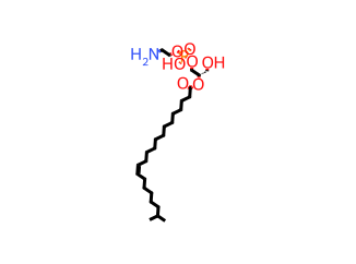 CC(C)CCCCC/C=C\CCCCCCCCCCCC(=O)O[C@@H](CO)COP(=O)(O)OCCN